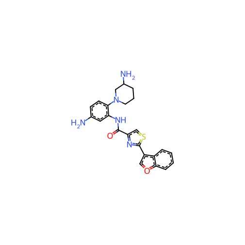 Nc1ccc(N2CCCC(N)C2)c(NC(=O)c2csc(-c3coc4ccccc34)n2)c1